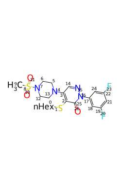 CCCCCCSc1c(N2CCN(S(C)(=O)=O)CC2)cnn(-c2cc(F)cc(F)c2)c1=O